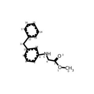 COC(=O)CNc1cccc(Cc2ccccc2)c1